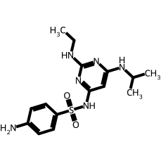 CCNc1nc(NC(C)C)cc(NS(=O)(=O)c2ccc(N)cc2)n1